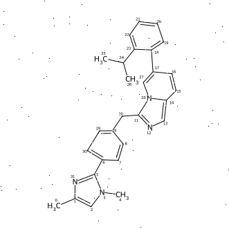 Cc1cn(C)c(-c2ccc(Cc3ncc4ccc(-c5ccccc5C(C)C)cn34)cc2)n1